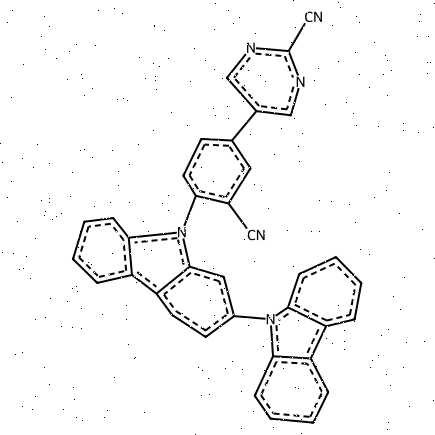 N#Cc1ncc(-c2ccc(-n3c4ccccc4c4ccc(-n5c6ccccc6c6ccccc65)cc43)c(C#N)c2)cn1